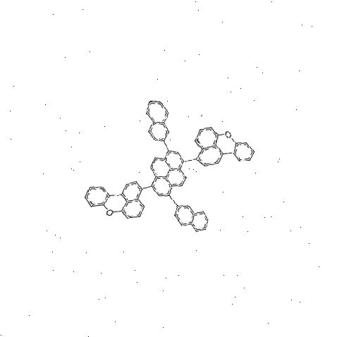 c1ccc2c(c1)Oc1cccc3c(-c4cc(-c5ccc6ccccc6c5)c5ccc6c(-c7ccc8c9c(cccc79)Oc7ccccc7-8)cc(-c7ccc8ccccc8c7)c7ccc4c5c76)ccc-2c13